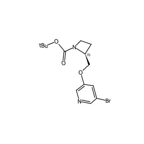 CC(C)(C)OC(=O)N1CC[C@H]1COc1cncc(Br)c1